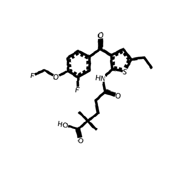 CCc1cc(C(=O)c2ccc(OCF)c(F)c2)c(NC(=O)CCC(C)(C)C(=O)O)s1